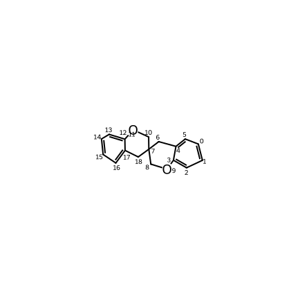 c1ccc2c(c1)CC1(CO2)COc2ccccc2C1